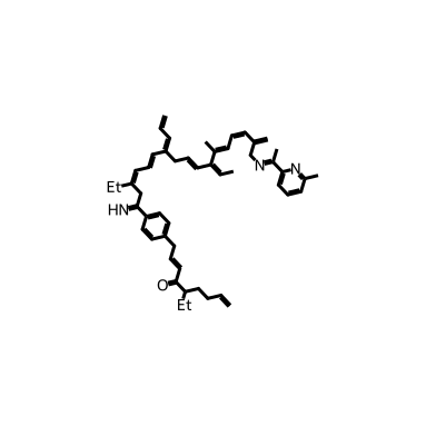 C=C\C=C(/C=C/C=C(/CC)CC(=N)c1ccc(C/C=C/C(=O)C(CC)CCC=C)cc1)C/C=C/C(=C/C)C(/C)=C/C=C\C(=C)C/N=C(\C)c1cccc(C)n1